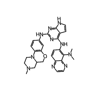 CN1CCN2c3ccc(Nc4nc(Nc5ccc6nccnc6c5N(C)C)c5cc[nH]c5n4)cc3OCC2C1